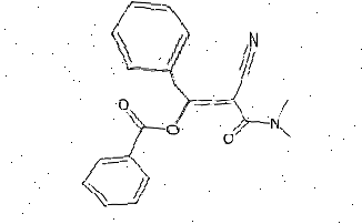 CN(C)C(=O)/C(C#N)=C(\OC(=O)c1ccccc1)c1ccccc1